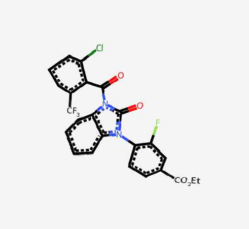 CCOC(=O)c1ccc(-n2c(=O)n(C(=O)c3c(Cl)cccc3C(F)(F)F)c3ccccc32)c(F)c1